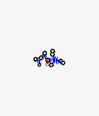 C1=CCC(n2c3ccccc3c3cc4c5ccccc5n(-c5ccc6c(c5)oc5cccc(C7NC(c8ccc9ccccc9c8)=NC(c8ccc9ccccc9c8)N7)c56)c4cc32)=C1